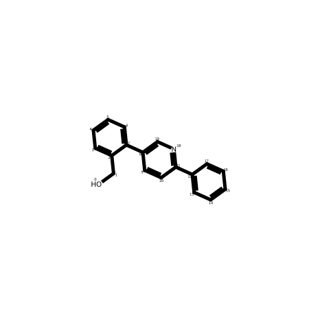 OCc1ccccc1-c1ccc(-c2ccccc2)nc1